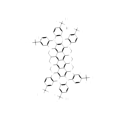 CC(C)(C)c1ccc2c(c1)B1c3cc(C(C)(C)C)ccc3N3c4ccc(C(C)(C)C)cc4B4CC5CB6CN7c8ccc(C(C)(C)C)cc8B8c9cc(C(C)(C)C)ccc9N9c%10ccc(C(C)(C)C)cc%10B%10CN%11CB%12CN2c2c1c3c4c1c5c3c6c4c7c8c9c%10c4c%11c3c%12c21